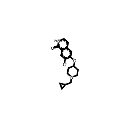 O=c1[nH]ccc2cc(OC3CCN(CC4CC4)CC3)c(Cl)cc12